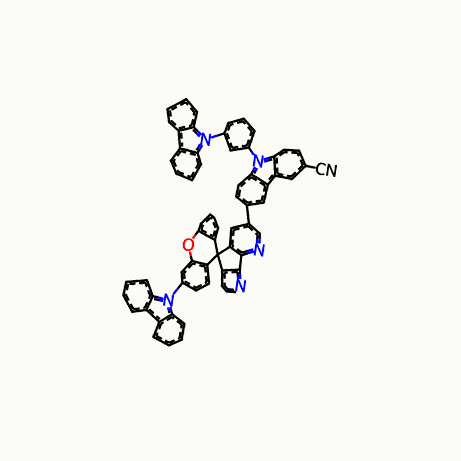 N#Cc1ccc2c(c1)c1cc(-c3cnc4c(c3)C3(c5ccccc5Oc5cc(-n6c7ccccc7c7ccccc76)ccc53)c3cccnc3-4)ccc1n2-c1cccc(-n2c3ccccc3c3ccccc32)c1